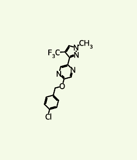 Cn1cc(C(F)(F)F)c(-c2cnc(OCc3ccc(Cl)cc3)cn2)n1